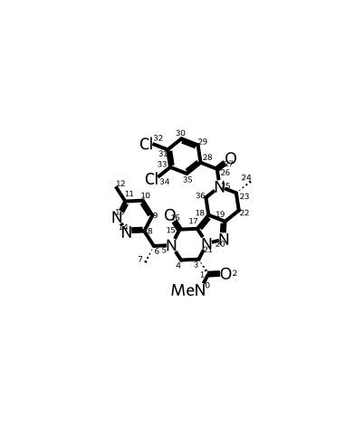 CNC(=O)[C@@H]1CN([C@H](C)c2ccc(C)nn2)C(=O)c2c3c(nn21)C[C@@H](C)N(C(=O)c1ccc(Cl)c(Cl)c1)C3